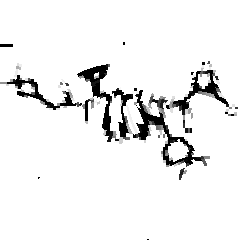 O=C(CC1CC(F)(F)C1)N[C@@H](c1cnn2cc([C@@H](NC(=O)c3nonc3O)C3CCC(F)(F)CC3)nc2c1)C1CC1